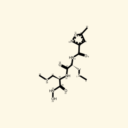 CSC[C@@H](NC(=O)c1cc(C)on1)C(=O)N[C@H](CSC)C(=O)NO